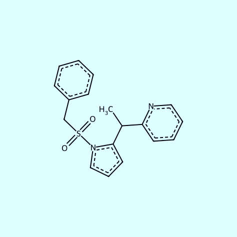 CC(c1ccccn1)c1cccn1S(=O)(=O)Cc1ccccc1